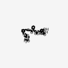 O=C1COc2c(CCN(CCN(C(=O)CCOCCc3cccc(CN4CCC5(CC4)CN(C(=O)C(F)(F)F)CCO5)c3)C3CCCCC3)C(=O)O)ccc(O)c2N1